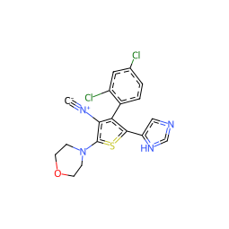 [C-]#[N+]c1c(N2CCOCC2)sc(-c2cnc[nH]2)c1-c1ccc(Cl)cc1Cl